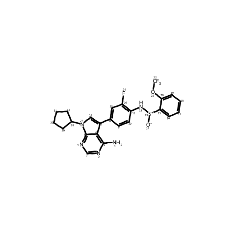 Nc1ncnc2c1c(-c1ccc(N[S+]([O-])c3ccccc3OC(F)(F)F)c(F)c1)cn2C1CCCC1